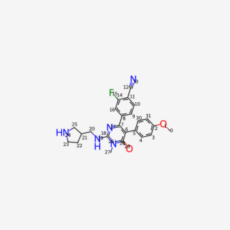 COc1ccc(-c2c(-c3ccc(C#N)c(F)c3)nc(NCC3CCNC3)n(C)c2=O)cc1